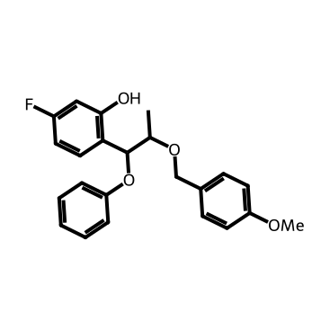 COc1ccc(COC(C)C(Oc2ccccc2)c2ccc(F)cc2O)cc1